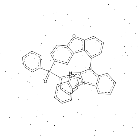 O=P(c1ccccc1)(c1ccccc1)c1ccc2oc3cccc(-n4c5ccccc5n5c6ccccc6nc45)c3c2c1